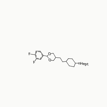 CCCCCCCC1CCC(CCC2COC(c3ccc(F)c(F)c3)OC2)CC1